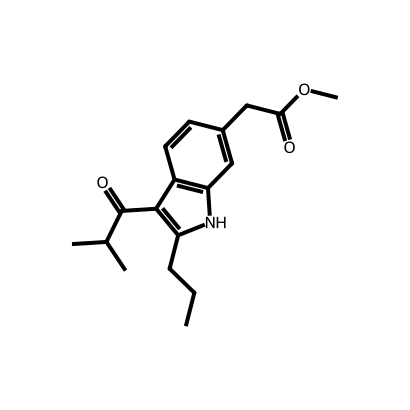 CCCc1[nH]c2cc(CC(=O)OC)ccc2c1C(=O)C(C)C